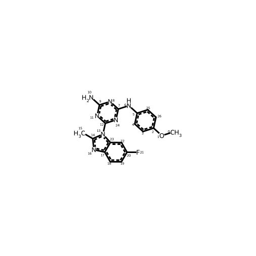 COc1ccc(Nc2nc(N)nc(-n3c(C)nc4ccc(F)cc43)n2)cc1